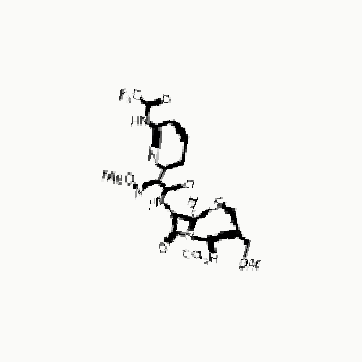 CON=C(C(=O)N[C@@H]1C(=O)N2C(C(=O)O)=C(COC(C)=O)CS[C@H]12)c1cccc(NC(=O)C(F)(F)F)n1